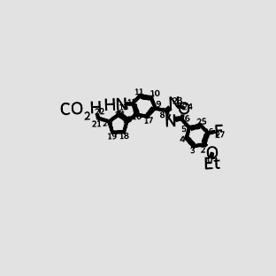 CCOc1ccc(-c2nc(-c3ccc4[nH]c5c(c4c3)CCC5CC(=O)O)no2)cc1F